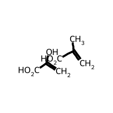 C=C(C)C(=O)O.C=C(O)C(=O)O